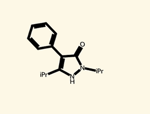 CC(C)c1[nH]n(C(C)C)c(=O)c1-c1ccccc1